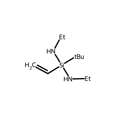 C=C[Si](NCC)(NCC)C(C)(C)C